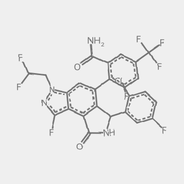 NC(=O)c1cc(C(F)(F)F)cc(F)c1-c1cc2c(c(F)nn2CC(F)F)c2c1C(c1cc(F)ccc1Cl)NC2=O